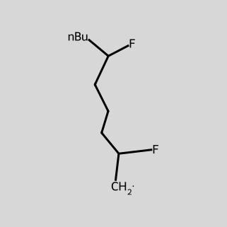 [CH2]C(F)CCCC(F)CCCC